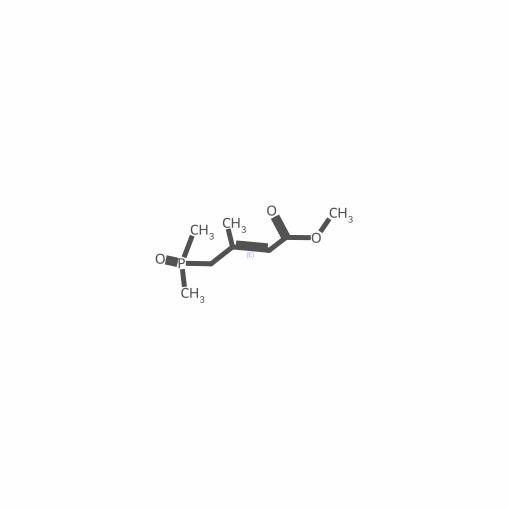 COC(=O)/C=C(\C)CP(C)(C)=O